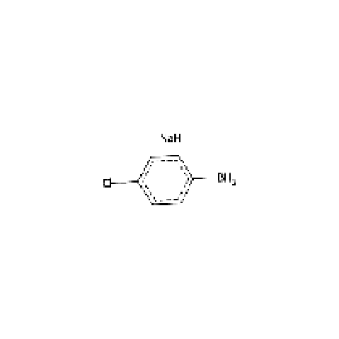 Bc1ccc(Cl)cc1.[NaH]